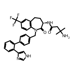 CC(C)(N)CC(=O)N[C@@H]1CCc2cc(C(F)(F)F)ccc2N(Cc2ccc(-c3ccccc3-c3c[nH]cn3)cc2)C1=O